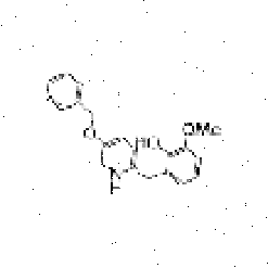 COc1cccc(CC2=CC=C(OCc3ccccc3)CN2)c1O